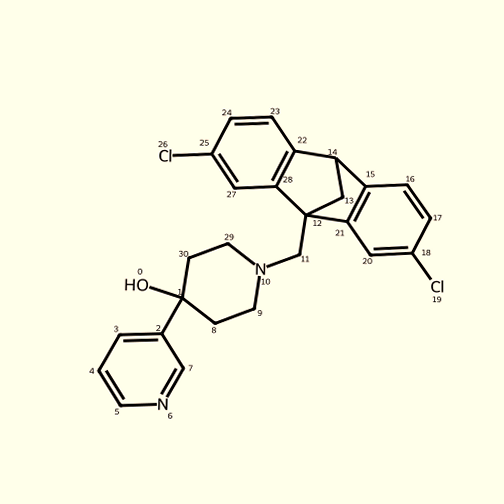 OC1(c2cccnc2)CCN(CC23CC(c4ccc(Cl)cc42)c2ccc(Cl)cc23)CC1